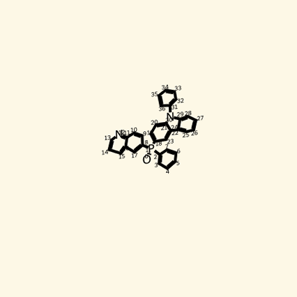 O=P(c1ccccc1)(c1ccc2ncccc2c1)c1ccc2c(c1)c1ccccc1n2-c1ccccc1